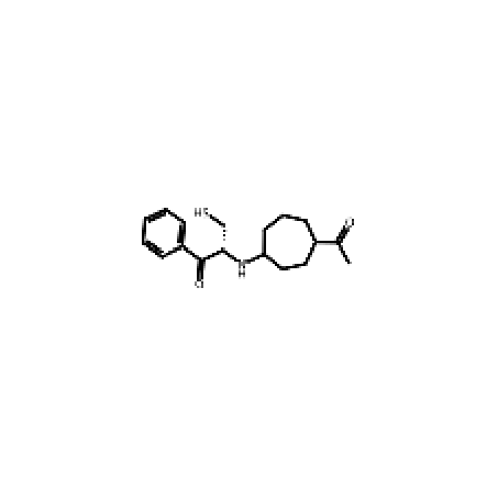 CC(=O)C1CCCC(N[C@@H](CS)C(=O)c2ccccc2)CC1